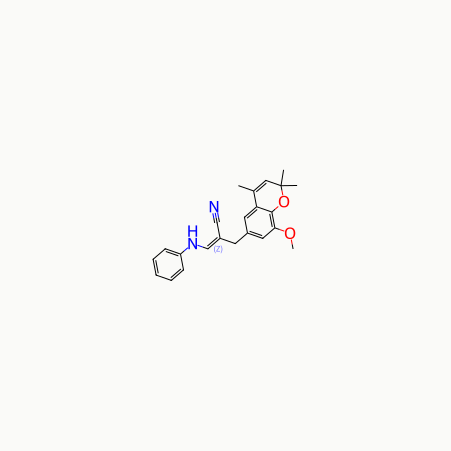 COc1cc(C/C(C#N)=C/Nc2ccccc2)cc2c1OC(C)(C)C=C2C